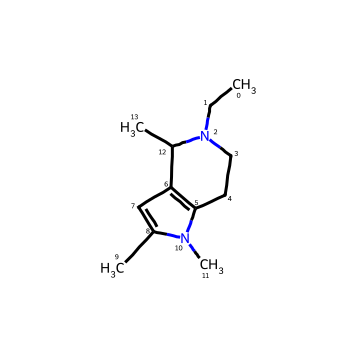 CCN1CCc2c(cc(C)n2C)C1C